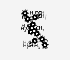 Cc1c2c3c(cccc3c3cc(N(c4ccc([Si](C)(C)C)cc4)c4ccc5oc6ccccc6c5c4)ccc13)C(C)(C)c1cc(N(c3ccc([Si](C)(C)C)cc3)c3ccc4oc5ccccc5c4c3)ccc1-2